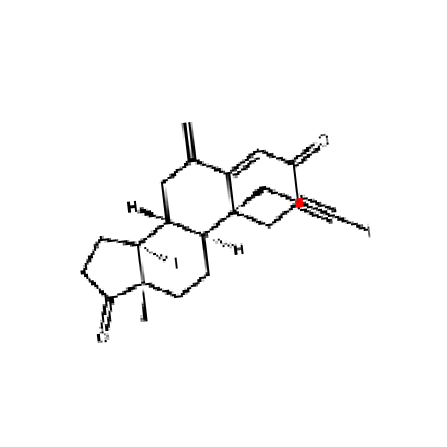 C=C1C[C@@H]2[C@H](CC[C@]3(C)C(=O)CC[C@@H]23)[C@@]2(CC#CI)CCC(=O)C=C12